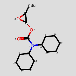 CCCCC1O[C@H]1OC(=O)N(C1CCCCC1)C1CCCCC1